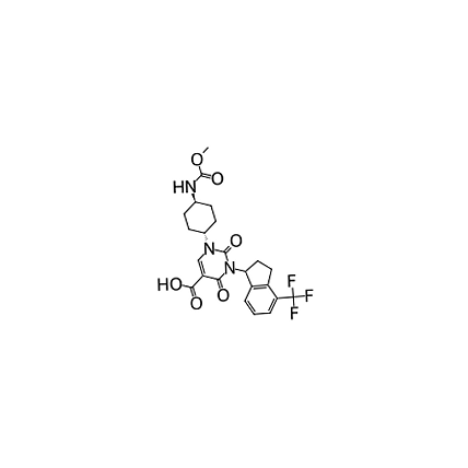 COC(=O)N[C@H]1CC[C@H](n2cc(C(=O)O)c(=O)n(C3CCc4c3cccc4C(F)(F)F)c2=O)CC1